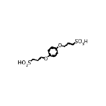 O=S(=O)(O)CCCOc1ccc(OCCCS(=O)(=O)O)cc1